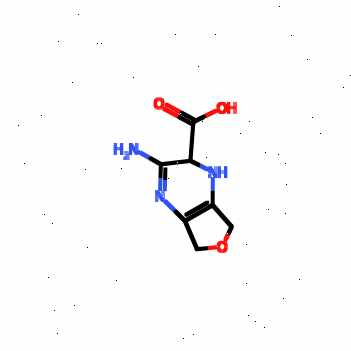 NC1=NC2=C(COC2)NC1C(=O)O